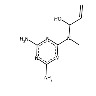 C=CC(O)N(C)c1nc(N)nc(N)n1